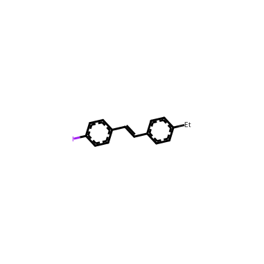 CCc1ccc(/C=C/c2ccc(I)cc2)cc1